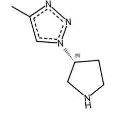 Cc1cn([C@@H]2CCNC2)nn1